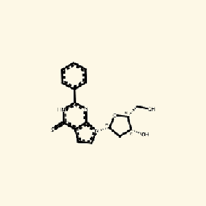 OC[C@H]1O[C@@H](n2ccc3c(=S)[nH]c(-c4ccccc4)nc32)C[C@H]1O